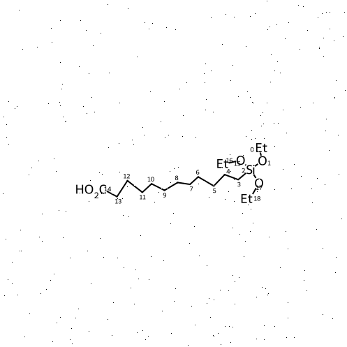 CCO[Si](CCCCCCCCCCCC(=O)O)(OCC)OCC